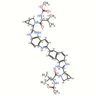 COC(=O)N[C@H](C(=O)N1CC2CC2C1c1nc2ccc3nc(-c4ccc5c(ccc6nc(C7C8CC8CN7C(=O)[C@@H](NC(C)=O)C(C)C)[nH]c65)c4)ccc3c2[nH]1)C(C)C